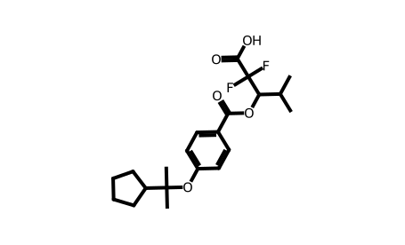 CC(C)C(OC(=O)c1ccc(OC(C)(C)C2CCCC2)cc1)C(F)(F)C(=O)O